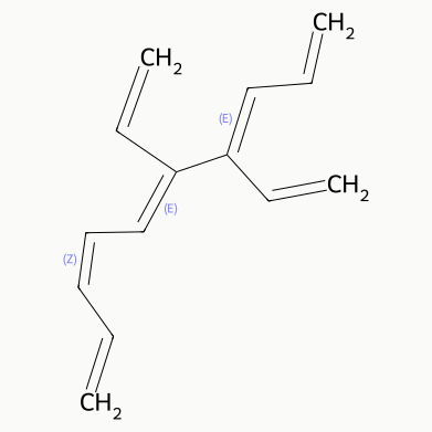 C=C\C=C/C=C(C=C)/C(C=C)=C/C=C